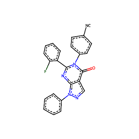 [C-]#[N+]c1ccc(-n2c(-c3ccccc3F)nc3c(cnn3-c3ccccc3)c2=O)cc1